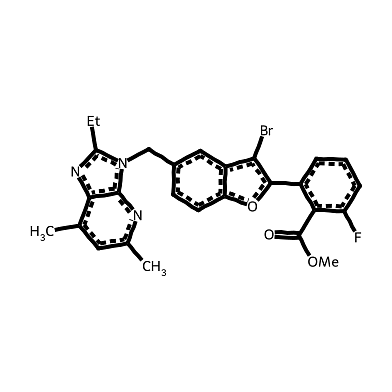 CCc1nc2c(C)cc(C)nc2n1Cc1ccc2oc(-c3cccc(F)c3C(=O)OC)c(Br)c2c1